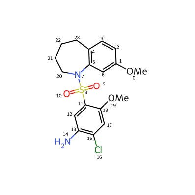 COc1ccc2c(c1)N(S(=O)(=O)c1cc(N)c(Cl)cc1OC)CCCC2